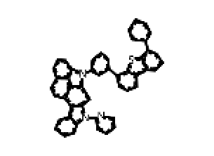 c1ccc(-c2cccc3c2sc2c(-c4cccc(-n5c6cccc7ccc8c9c%10ccccc%10n(-c%10ccccn%10)c9cc5c8c76)c4)cccc23)cc1